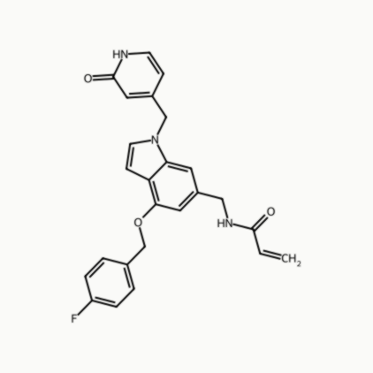 C=CC(=O)NCc1cc(OCc2ccc(F)cc2)c2ccn(Cc3cc[nH]c(=O)c3)c2c1